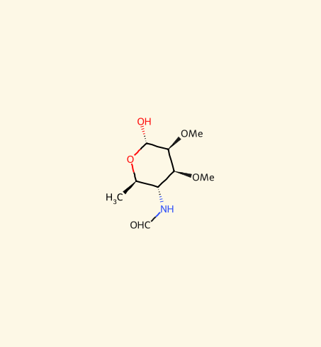 CO[C@H]1[C@H](NC=O)[C@@H](C)O[C@H](O)[C@H]1OC